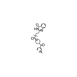 C=C/C(=C\N(C)C)C(=O)C1CCN(C(=O)C(C)(C)CCc2nc3ccccc3c(=O)[nH]2)CC1